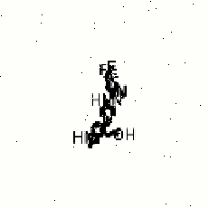 Cc1cc2c(CCO)c(CN3CCC(Nc4ncnc5sc(CC(F)(F)F)cc45)CC3)ccc2[nH]1